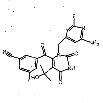 Cc1cc(C#N)cc(C(=O)c2c(C(C)(C)O)c(=O)[nH]c(=O)n2Cc2cc(N)nc(F)c2)c1